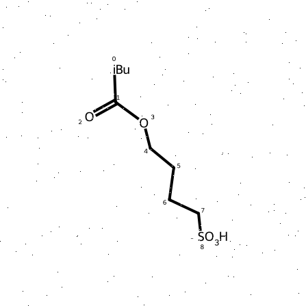 CCC(C)C(=O)OCCCCS(=O)(=O)O